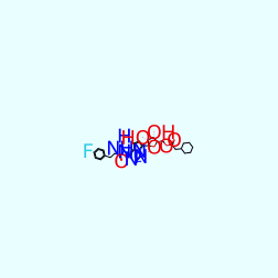 C[C@@]1(c2ccc3c(NC(=O)[C@@H](N)Cc4ccc(F)cc4)ncnn23)O[C@H](COC(=O)CC2CCCCC2)[C@@H](O)[C@H]1O